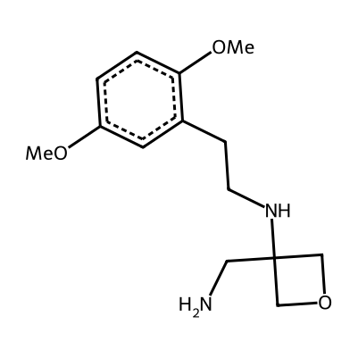 COc1ccc(OC)c(CCNC2(CN)COC2)c1